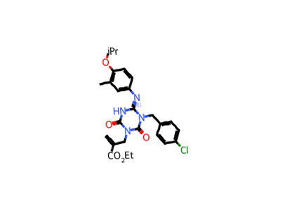 C=C(Cn1c(=O)[nH]/c(=N\c2ccc(OC(C)C)c(C)c2)n(Cc2ccc(Cl)cc2)c1=O)C(=O)OCC